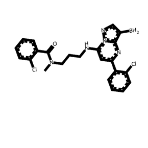 Bc1cnn2c(NCCCN(C)C(=O)c3ccccc3Cl)cc(-c3ccccc3Cl)nc12